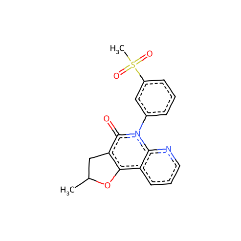 CC1Cc2c(c3cccnc3n(-c3cccc(S(C)(=O)=O)c3)c2=O)O1